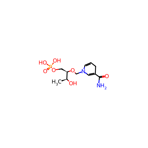 C[C@H](O)[C@@H](COP(=O)(O)O)OCN1C=CCC(C(N)=O)=C1